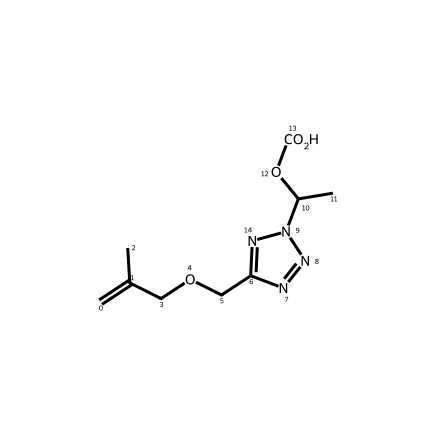 C=C(C)COCc1nnn(C(C)OC(=O)O)n1